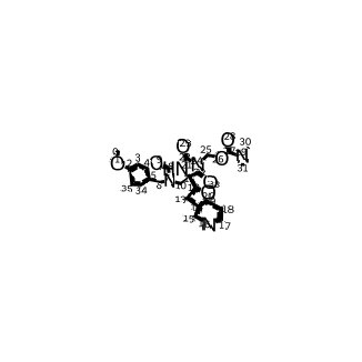 COc1ccc(CN(C=O)C[C@@]2(c3cc4cnccc4o3)NC(=O)N(COC(=O)N(C)C)C2=O)cc1